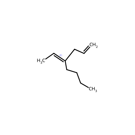 C=CC/C(=C/C)CCCC